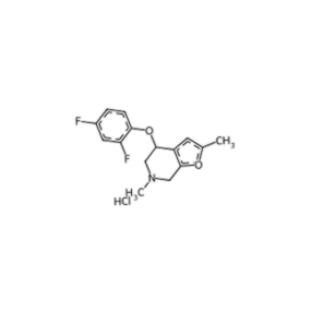 Cc1cc2c(o1)CN(C)CC2Oc1ccc(F)cc1F.Cl